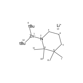 C[C](C)(C)[Zn-]([N]1CCCC(C)(C)C1(C)C)[C](C)(C)C.[Li+]